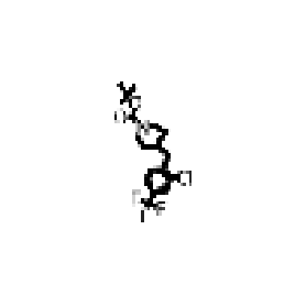 CC(C)(C)OC(=O)N1CCC(Cc2ccc(C(F)(F)F)cc2Cl)CC1